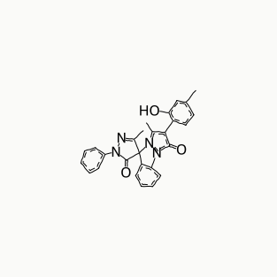 CC1=NN(c2ccccc2)C(=O)C12c1ccccc1-n1c(=O)c(-c3ccc(C)cc3O)c(C)n12